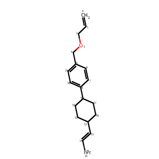 C=CCOCc1ccc(C2CCC(C=CCCC)CC2)cc1